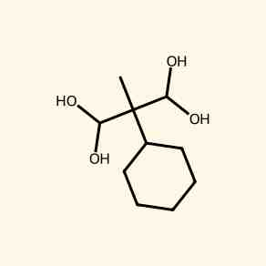 CC(C(O)O)(C(O)O)C1CCCCC1